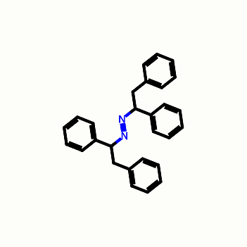 c1ccc(CC(N=NC(Cc2ccccc2)c2ccccc2)c2ccccc2)cc1